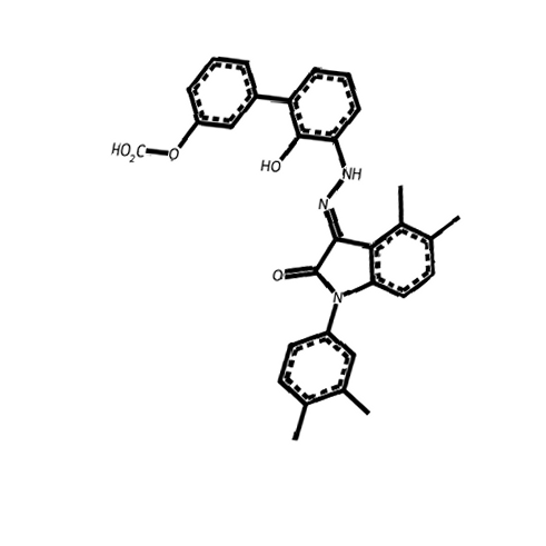 Cc1ccc(N2C(=O)C(=NNc3cccc(-c4cccc(OC(=O)O)c4)c3O)c3c2ccc(C)c3C)cc1C